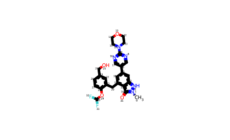 Cn1[nH]c2cc(-c3cnc(N4CCOCC4)nc3)cc(Cc3cc(CO)ccc3OC(F)F)c2c1=O